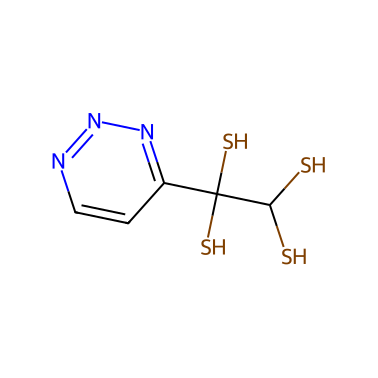 SC(S)C(S)(S)c1ccnnn1